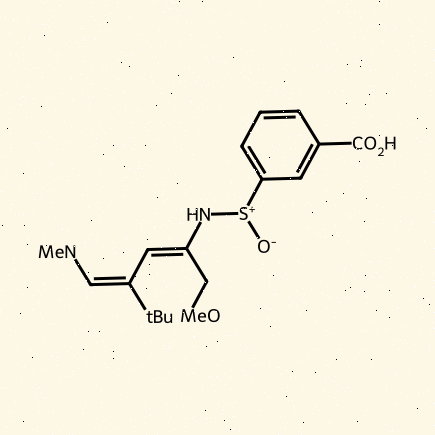 CN/C=C(\C=C(/COC)N[S+]([O-])c1cccc(C(=O)O)c1)C(C)(C)C